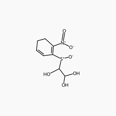 O=[N+]([O-])C1=C([S+]([O-])C(O)C(O)O)C=CCC1